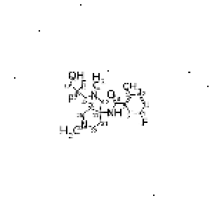 Cc1ccc(F)cc1C(=O)NC1(CN(C)CC(F)(F)CO)CCN(C)CC1